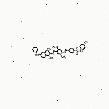 COc1cc(/N=N/c2ccc(S(=O)(=O)Nc3ccc(O)cc3)cc2)c(C)cc1/N=N/c1c(S)cc2cc(Nc3ccccc3)ccc2c1O